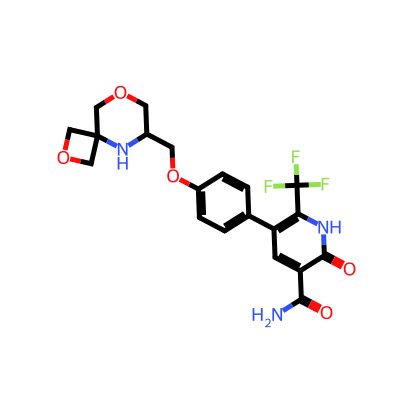 NC(=O)c1cc(-c2ccc(OCC3COCC4(COC4)N3)cc2)c(C(F)(F)F)[nH]c1=O